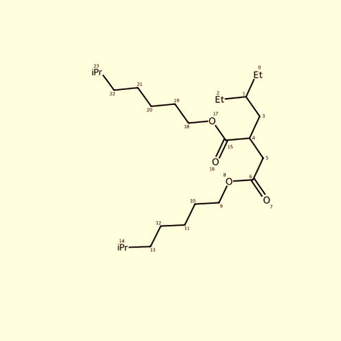 CCC(CC)CC(CC(=O)OCCCCCC(C)C)C(=O)OCCCCCC(C)C